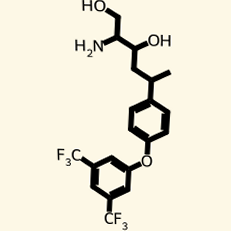 CC(CC(O)C(N)CO)c1ccc(Oc2cc(C(F)(F)F)cc(C(F)(F)F)c2)cc1